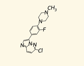 CN1CCN(c2ccc(-c3cnc4ccc(Cl)nn34)cc2F)CC1